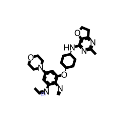 C=Nc1c(/N=C\C)cc(N2CCOCC2)cc1O[C@H]1CC[C@@H](Nc2nc(C)nc3c2OCC3)CC1